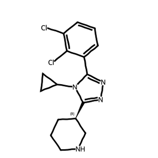 Clc1cccc(-c2nnc([C@@H]3CCCNC3)n2C2CC2)c1Cl